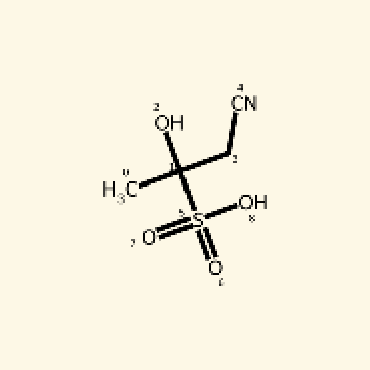 CC(O)(CC#N)S(=O)(=O)O